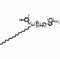 CCCCCCCCCCCCCCCCCCCC[C@@H](COP(=O)(O)OC[C@]1(C)CC[C@H](c2ccc3c(N)ncnn23)O1)OCc1cc(F)cc(C#N)c1